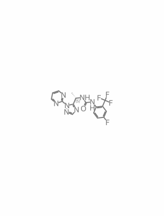 C[C@H](NC(=O)Nc1ccc(F)cc1C(F)(F)F)c1ncnn1-c1ncccn1